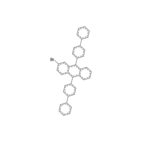 Brc1ccc2c(-c3ccc(-c4ccccc4)cc3)c3ccccc3c(-c3ccc(-c4ccccc4)cc3)c2c1